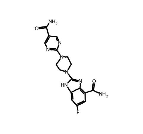 NC(=O)c1cnc(N2CCN(c3nc4c(C(N)=O)cc(F)cc4[nH]3)CC2)nc1